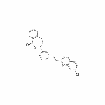 O=C1S[C@@H](c2cccc(C=Cc3ccc4ccc(Cl)cc4n3)c2)CCc2ccccc21